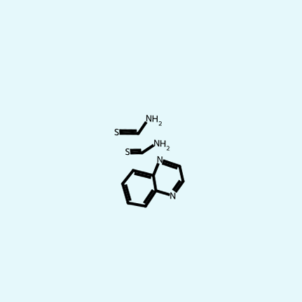 NC=S.NC=S.c1ccc2nccnc2c1